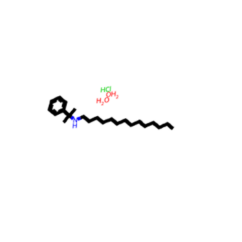 CCCCCCCCCCCCCCNC(C)(C)c1ccccc1.Cl.O.O